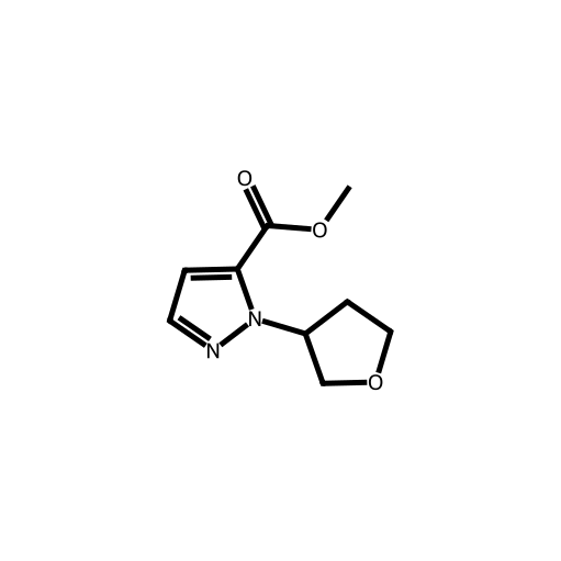 COC(=O)c1ccnn1C1CCOC1